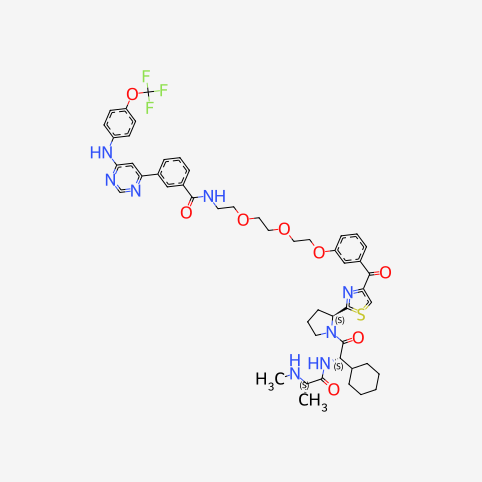 CN[C@@H](C)C(=O)N[C@H](C(=O)N1CCC[C@H]1c1nc(C(=O)c2cccc(OCCOCCOCCNC(=O)c3cccc(-c4cc(Nc5ccc(OC(F)(F)F)cc5)ncn4)c3)c2)cs1)C1CCCCC1